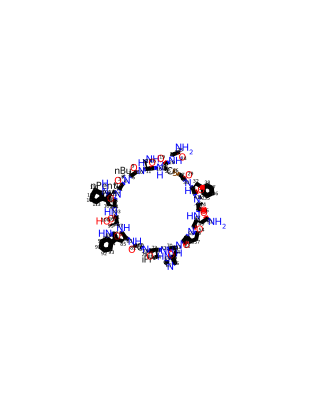 CCCCC[C@H]1C(=O)N(C)[C@@H](CCCC)C(=O)N[C@@H](CN)C(=O)N[C@H](C(=O)NCC(N)=O)CSCC(=O)N[C@@H](Cc2ccccc2)C(=O)N(C)[C@@H](C)C(=O)N[C@@H](CC(N)=O)C(=O)N2CCC[C@H]2C(=O)N[C@@H](Cc2cnc[nH]2)C(=O)N[C@@H](CC(C)C)C(=O)N(C)CC(=O)N[C@@H](Cc2c[nH]c3ccccc23)C(=O)N[C@@H](CO)C(=O)N[C@@H](Cc2c[nH]c3ccccc23)C(=O)N1C